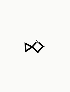 [CH]1CC2(CC2)S1